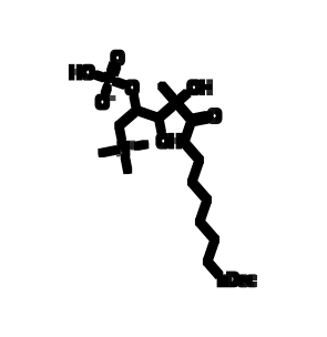 CCCCCCCCCCCCCCCCCC(=O)C(C)(O)C(O)C(C[N+](C)(C)C)OP(=O)([O-])O